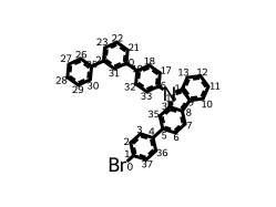 Brc1ccc(-c2ccc3c4ccccc4n(-c4ccc(-c5cccc(-c6ccccc6)c5)cc4)c3c2)cc1